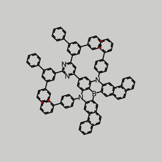 c1ccc(-c2ccc(N3c4cc5c(ccc6ccccc65)cc4B4c5cc6ccc7ccccc7c6cc5N(c5ccc(-c6ccccc6)cc5)c5cc(-c6cc(-c7cc(-c8ccccc8)cc(-c8ccccc8)c7)nc(-c7cc(-c8ccccc8)cc(-c8ccccc8)c7)n6)cc3c54)cc2)cc1